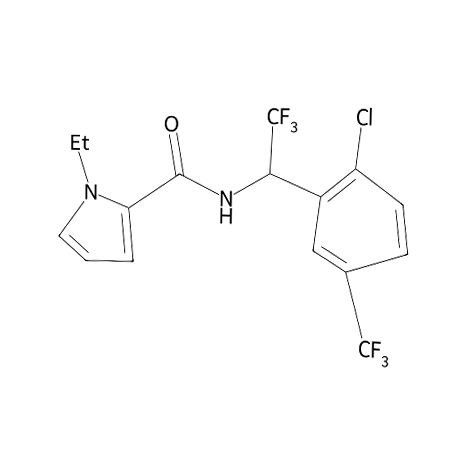 CCn1cccc1C(=O)NC(c1cc(C(F)(F)F)ccc1Cl)C(F)(F)F